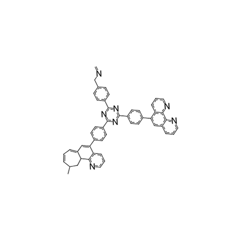 C=NCc1ccc(-c2nc(-c3ccc(C4=CC5=CC=CC(C)CC5c5ncccc54)cc3)nc(-c3ccc(-c4cc5cccnc5c5ncccc45)cc3)n2)cc1